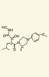 COc1ccc(N2CCN(C(=O)[C@@H](CC(C)C)[C@H](O)C(=O)NO)[C@H](C)C2)cc1